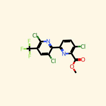 COC(=O)c1nc(-c2nc(Cl)c(C(F)(F)F)cc2Cl)ccc1Cl